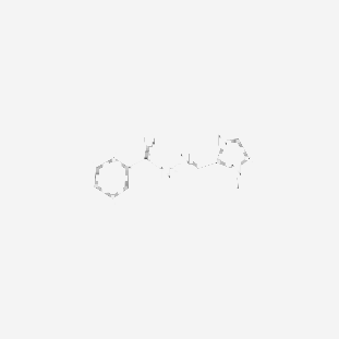 Cn1ccnc1/C=N/NC(=O)c1ccccc1